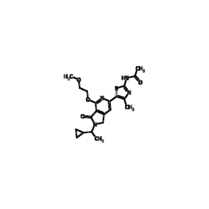 COCCOc1nc(-c2sc(NC(C)=O)nc2C)cc2c1C(=O)N(C(C)C1CC1)C2